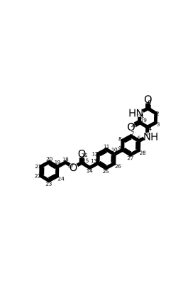 O=C1CCC(Nc2ccc(-c3ccc(CC(=O)OCc4ccccc4)cc3)cc2)C(=O)N1